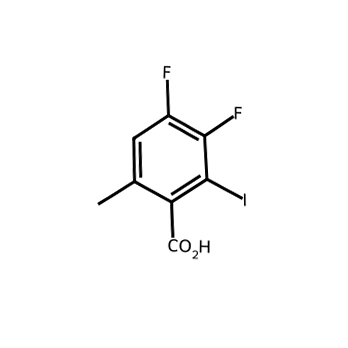 Cc1cc(F)c(F)c(I)c1C(=O)O